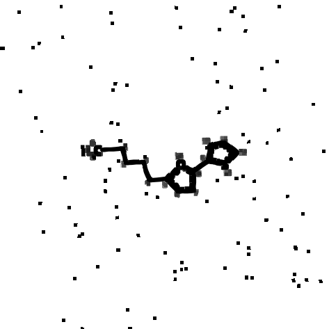 CCCCCc1ccc(-c2cccs2)o1